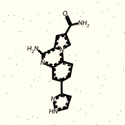 NC(=O)c1cc2c(N)nc3cc(-c4cc[nH]n4)ccc3n2c1